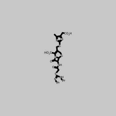 Cc1nc(SCC2=C(C(=O)O)N3C(=O)C(NC(=O)CSC(=NC(C)C)NC(C)C)C3SC2)sc1CC(=O)O